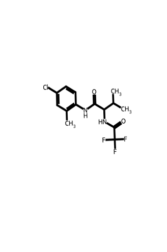 Cc1cc(Cl)ccc1NC(=O)C(NC(=O)C(F)(F)F)C(C)C